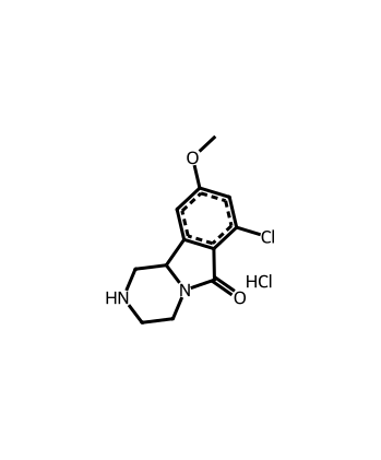 COc1cc(Cl)c2c(c1)C1CNCCN1C2=O.Cl